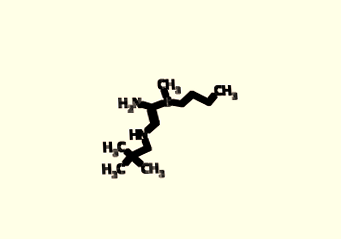 CCCCB(C)/C(N)=C/NCC(C)(C)C